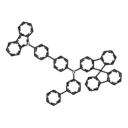 c1ccc(-c2cccc(N(c3ccc(-c4ccc(-n5c6ccccc6c6ccccc65)cc4)cc3)c3ccc4c(c3)C3(c5ccccc5-c5ccccc53)c3ccccc3-4)c2)cc1